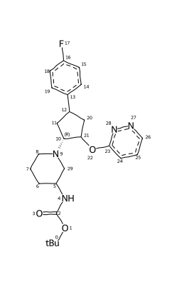 CC(C)(C)OC(=O)NC1CCCN([C@@H]2CC(c3ccc(F)cc3)CC2Oc2cccnn2)C1